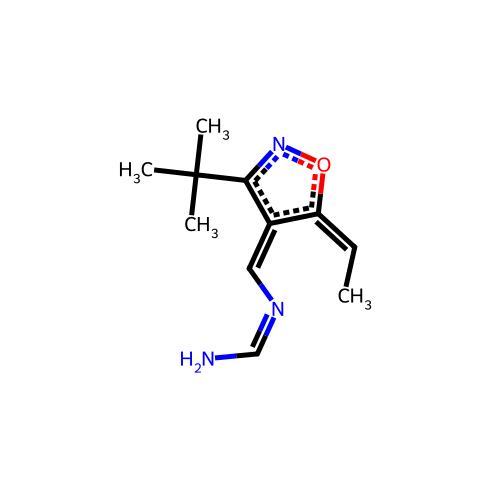 C/C=c1/onc(C(C)(C)C)/c1=C/N=C\N